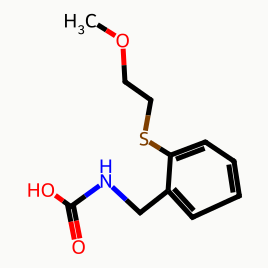 COCCSc1ccccc1CNC(=O)O